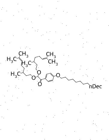 CCCCCCCCCCCCCCCCCCOc1ccc(C(=O)C(OCCC(C)CCC=C(C)C)OCCC(C)CCC=C(C)C)cc1